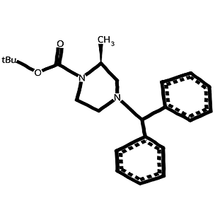 C[C@H]1CN(C(c2ccccc2)c2ccccc2)CCN1C(=O)OC(C)(C)C